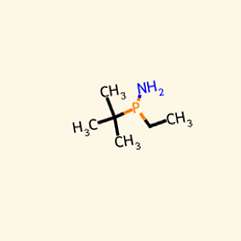 CCP(N)C(C)(C)C